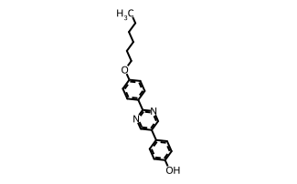 CCCCCCOc1ccc(-c2ncc(-c3ccc(O)cc3)cn2)cc1